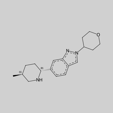 C[C@H]1CC[C@H](c2ccc3cn(C4CCOCC4)nc3c2)NC1